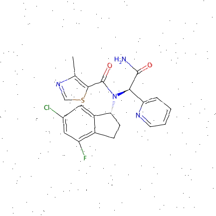 Cc1ncsc1C(=O)N([C@@H]1CCc2c(F)cc(Cl)cc21)[C@@H](C(N)=O)c1ccccn1